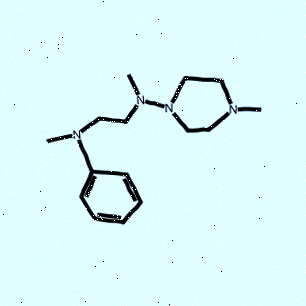 CN1CCN(N(C)CCN(C)c2ccccc2)CC1